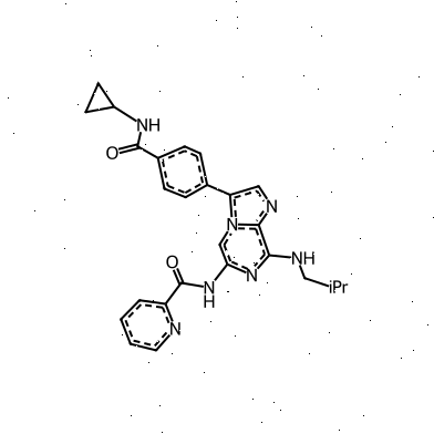 CC(C)CNc1nc(NC(=O)c2ccccn2)cn2c(-c3ccc(C(=O)NC4CC4)cc3)cnc12